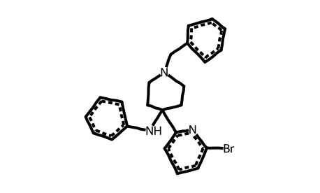 Brc1cccc(C2(Nc3ccccc3)CCN(Cc3ccccc3)CC2)n1